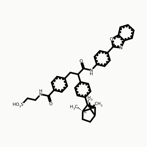 CC1(C)C2C=C(c3ccc(C(Cc4ccc(C(=O)NCCS(=O)(=O)O)cc4)C(=O)Nc4ccc(-c5nc6ccccc6o5)cc4)cc3)[C@]1(C)CC2